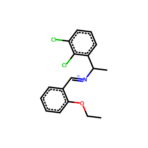 CCOc1ccccc1/C=N/C(C)c1cccc(Cl)c1Cl